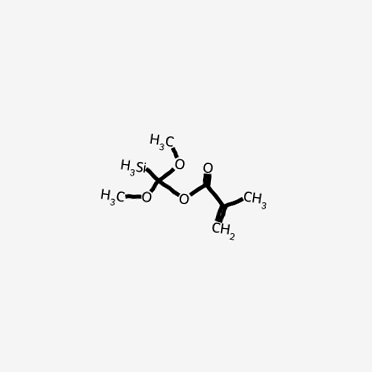 C=C(C)C(=O)OC([SiH3])(OC)OC